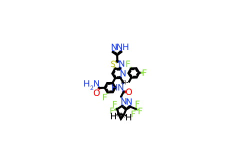 NC(=O)c1cc(-c2cc3sc(-c4cn[nH]c4)nc3nc2[C@H](Cc2cc(F)cc(F)c2)NC(=O)Cn2nc(C(F)(F)F)c3c2C(F)(F)[C@@H]2C[C@H]32)ccc1F